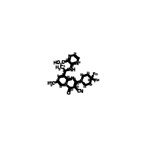 Cc1cc([C@@H](C)Nc2nccnc2C(=O)O)c2nc(N3CCC(F)(F)CC3)c(C#N)c(=O)n2c1